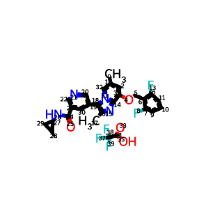 Cc1cc(OCc2c(F)cccc2F)c2nc(C)c(-c3cncc(C(=O)NC4CC4)c3)n2c1.O=C(O)C(F)(F)F